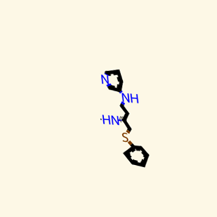 [NH][C@H](CCNc1cccnc1)CSc1ccccc1